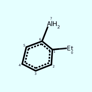 CCc1cccc[c]1[AlH2]